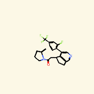 CC1CCCN1C(=O)CC1CCc2cncc(-c3ccc(C(F)(F)F)cc3F)c21